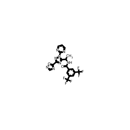 CC(NC(=O)c1cc(C(F)(F)F)cc(C(F)(F)F)c1)c1nc(-c2ncno2)nn1-c1ncccn1